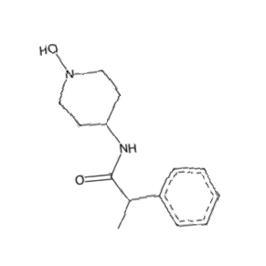 CC(C(=O)NC1CCN(O)CC1)c1ccccc1